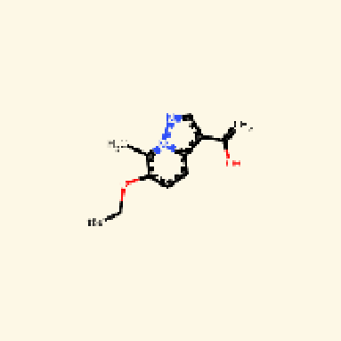 C=C(O)c1cnn2c(C)c(OCC(C)(C)C)ccc12